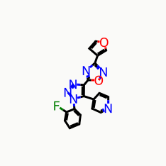 Fc1ccccc1-n1nnc(-c2nc(-c3ccoc3)no2)c1-c1ccncc1